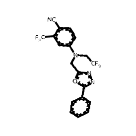 N#Cc1ccc(N(Cc2nnc(-c3ccccc3)o2)CC(F)(F)F)cc1C(F)(F)F